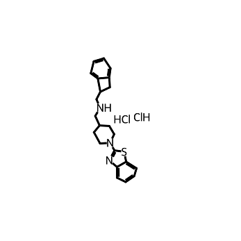 Cl.Cl.c1ccc2c(c1)CC2CNCC1CCN(c2nc3ccccc3s2)CC1